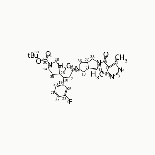 Cc1ncnc(C)c1C(=O)N1C=C2CN(C(C)CC(c3cccc(F)c3)C3CCN(C(=O)OC(C)(C)C)CC3)CC2C1